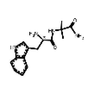 CC(C)(NC(=O)[C@H](N)Cc1c[nH]c2ccccc12)C(N)=O